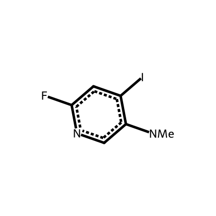 CNc1cnc(F)cc1I